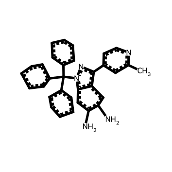 Cc1cc(-c2nn(C(c3ccccc3)(c3ccccc3)c3ccccc3)c3cc(N)c(N)cc23)ccn1